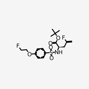 C=C(F)C[C@@H](NS(=O)(=O)c1ccc(OCCF)cc1)C(=O)OC(C)(C)C